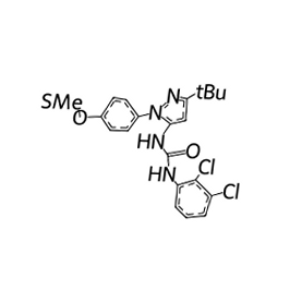 CSOc1ccc(-n2nc(C(C)(C)C)cc2NC(=O)Nc2cccc(Cl)c2Cl)cc1